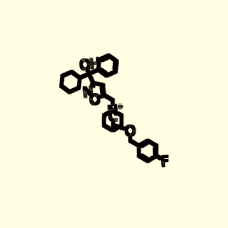 OC(c1ccccc1)(c1cc(C[N+]23CCC(CC2)C(OCc2ccc(F)cc2)C3)on1)C1CCCCC1